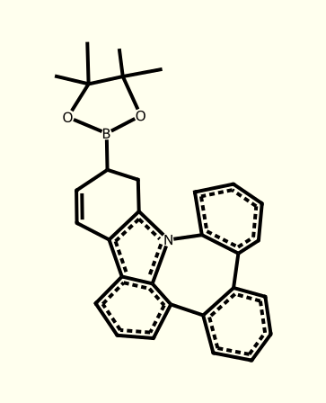 CC1(C)OB(C2C=Cc3c(n4c5c(cccc35)-c3ccccc3-c3ccccc3-4)C2)OC1(C)C